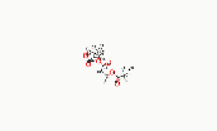 CCC(C)(C)C(=O)OC(C)CC(=O)OC1C2CC3C(=O)OC1C3C2